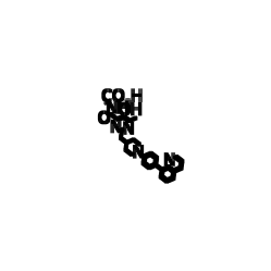 Cc1nc(CC2CCN(c3ccc(-c4cccc5cccnc45)cc3)CC2)nc(C(=O)NCC(=O)O)c1O